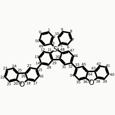 c1ccc([Si]2(c3ccccc3)c3ccc(-c4ccc5oc6ccccc6c5c4)cc3-c3cc(-c4ccc5oc6ccccc6c5c4)ccc32)cc1